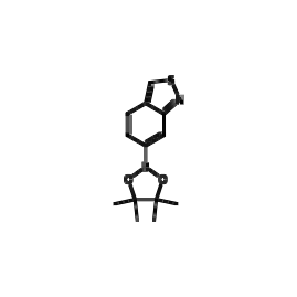 CC1(C)OB(c2ccc3csnc3c2)OC1(C)C